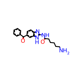 NCCCCCC(=O)Nc1nc2ccc(C(=O)c3ccccc3)cc2[nH]1